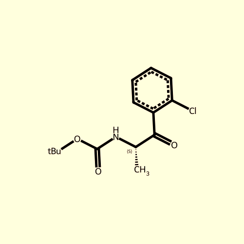 C[C@H](NC(=O)OC(C)(C)C)C(=O)c1ccccc1Cl